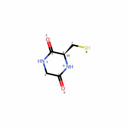 O=C1CNC(=O)[C@@H](CS)N1